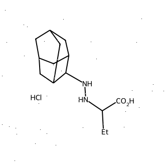 CCC(NNC1C2CC3CC(C2)CC1C3)C(=O)O.Cl